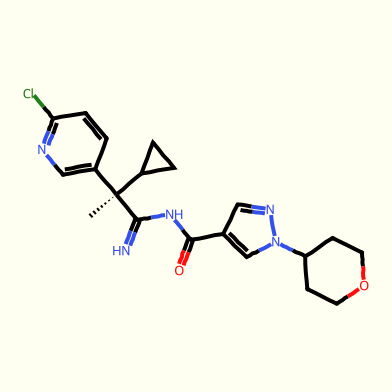 C[C@](C(=N)NC(=O)c1cnn(C2CCOCC2)c1)(c1ccc(Cl)nc1)C1CC1